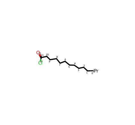 CC(C)CCCCCCCCCCC(=O)Cl